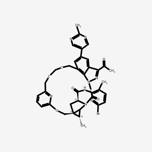 CC(=O)c1nn2c3c(cc(-c4cnc(C)nc4)cc13)CCCCCc1cccc(n1)OC[C@@]13C[C@@H](C(=O)Nc4nc(Br)ccc4C)N(C(=O)C2)C1[C@@H]3C